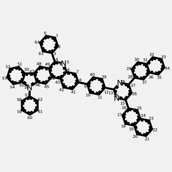 c1ccc(-c2nc3cc(-c4ccc(-c5nc(-c6ccc7ccccc7c6)cc(-c6ccc7ccccc7c6)n5)cc4)ccc3c3cc4c(cc23)c2ccccc2n4-c2ccccc2)cc1